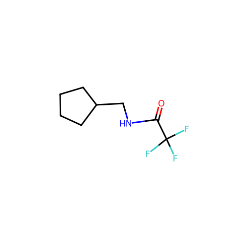 O=C(NCC1CCCC1)C(F)(F)F